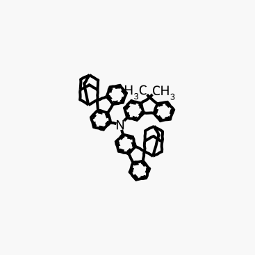 CC1(C)c2ccccc2-c2cc(N(c3ccc4c(c3)C3(c5ccccc5-4)C4CC5CC(C4)CC3C5)c3cccc4c3-c3ccccc3C43C4CC5CC(C4)CC3C5)ccc21